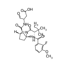 COc1cccc(C(=O)N[C@H](C(=O)N2[C@@H]3CC[C@@H](C3)[C@H]2C(=O)NC(C=O)CC(=O)O)C(C)(C)C)c1F